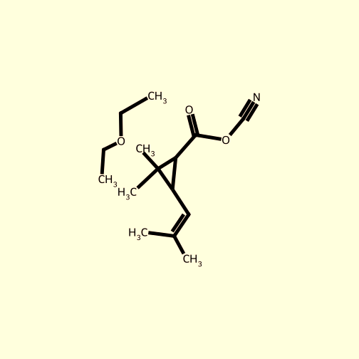 CC(C)=CC1C(C(=O)OC#N)C1(C)C.CCOCC